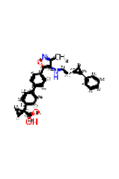 Cc1noc(-c2ccc(-c3ccc(C4(C(=O)O)CC4)cc3)cc2)c1NCC[C@@H]1C[C@H]1c1ccccc1